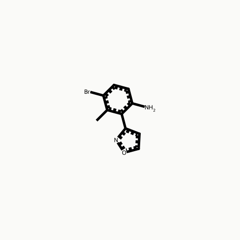 Cc1c(Br)ccc(N)c1-c1ccon1